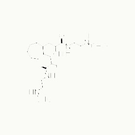 CC(CC1CCCCCC1CC(C)C(=O)NCCNC=O)C(=O)NCCNC=O